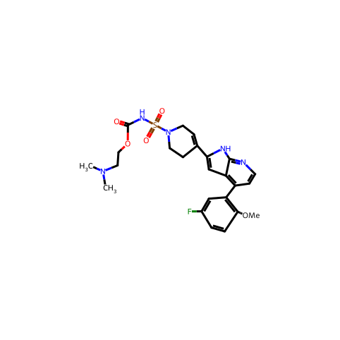 COc1ccc(F)cc1-c1ccnc2[nH]c(C3=CCN(S(=O)(=O)NC(=O)OCCN(C)C)CC3)cc12